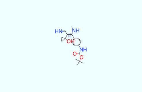 CN/C(=C(\C=N)C1(O)CC1)c1ccc(NC(=O)OC(C)(C)C)cc1